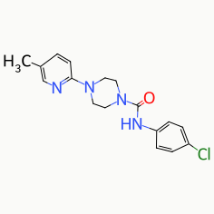 Cc1ccc(N2CCN(C(=O)Nc3ccc(Cl)cc3)CC2)nc1